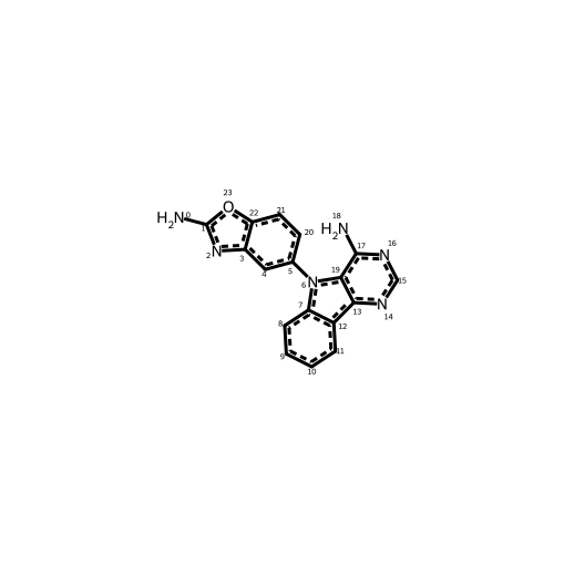 Nc1nc2cc(-n3c4ccccc4c4ncnc(N)c43)ccc2o1